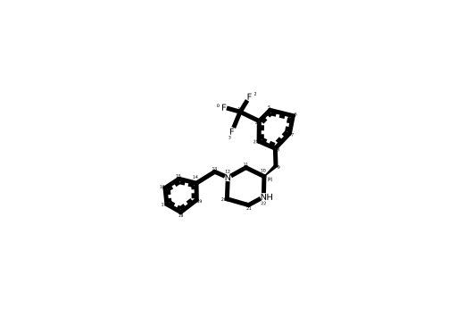 FC(F)(F)c1cccc(C[C@@H]2CN(Cc3ccccc3)CCN2)c1